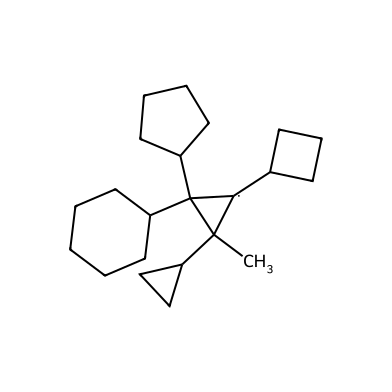 CC1(C2CC2)[C](C2CCC2)C1(C1CCCCC1)C1CCCC1